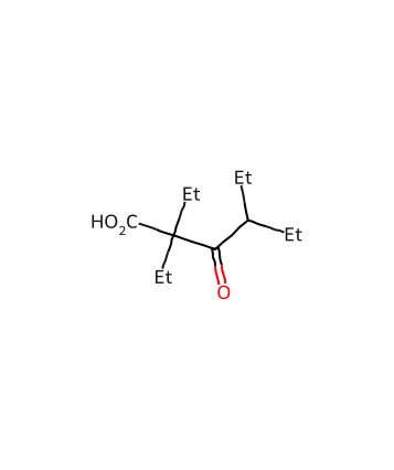 CCC(CC)C(=O)C(CC)(CC)C(=O)O